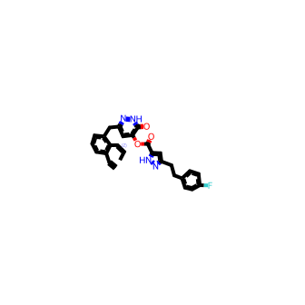 C#Cc1cccc(Cc2cc(OC(=O)c3cc(CCc4ccc(F)cc4)n[nH]3)c(=O)[nH]n2)c1/C=C\C